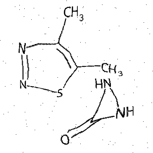 Cc1nnsc1C.O=C1NN1